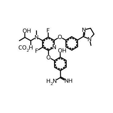 CC(O)C(C(=O)O)N(C)c1c(F)c(Oc2cccc(C3=NCCN3C)c2)nc(Oc2cc(C(=N)N)ccc2O)c1F